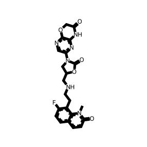 Cn1c(=O)ccc2ccc(F)c(CCNCC3CN(c4cnc5c(n4)NC(=O)CO5)C(=O)O3)c21